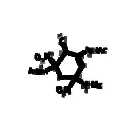 CC(=O)NC1=CC(NC(C)=O)([N+](=O)[O-])CC(NC(C)=O)([N+](=O)[O-])C1Cl